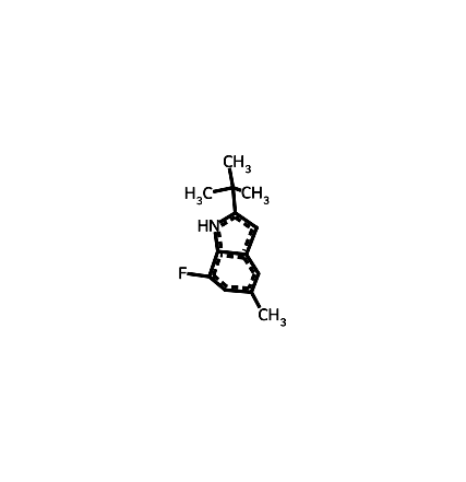 Cc1cc(F)c2[nH]c(C(C)(C)C)cc2c1